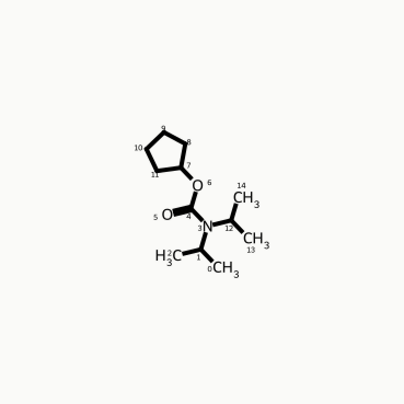 CC(C)N(C(=O)OC1CCCC1)C(C)C